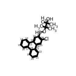 CC(C)(O)C(C)(C)OBc1cc2c3ccccc3c3ccccc3c2cc1Cl